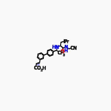 CC(C)CC(NC(c1ccc(-c2cccc(/C=C/C(=O)O)c2)cc1)C(F)(F)F)C(=O)NCC#N